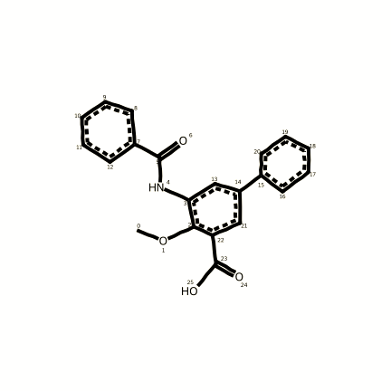 COc1c(NC(=O)c2ccccc2)cc(-c2ccccc2)cc1C(=O)O